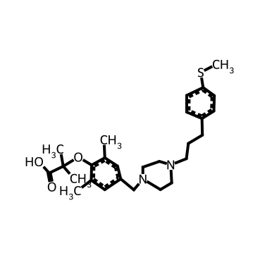 CSc1ccc(CCCN2CCN(Cc3cc(C)c(OC(C)(C)C(=O)O)c(C)c3)CC2)cc1